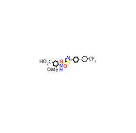 COc1cc(C(=O)O)ccc1NS(=O)(=O)c1cnc(-c2ccc([C@H]3CC[C@H](C(F)(F)F)CC3)cc2)s1